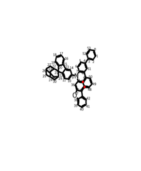 c1ccc(-c2ccc(N(c3ccc4c(c3)-c3ccccc3C43C4CC5CC(C4)CC3C5)c3ccc4c(c3)oc3ccccc34)c(-c3ccccc3)c2)cc1